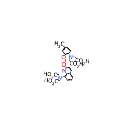 Cc1ccc(N(CC(=O)O)CC(=O)O)c(OCOc2ccc3cccc(N(CC(=O)O)CC(=O)O)c3n2)c1